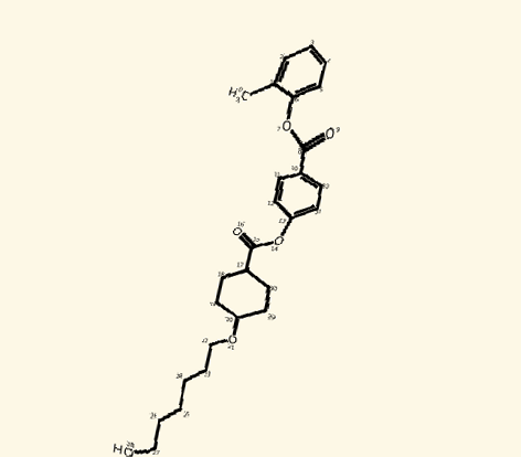 Cc1ccccc1OC(=O)c1ccc(OC(=O)C2CCC(OCCCCCCO)CC2)cc1